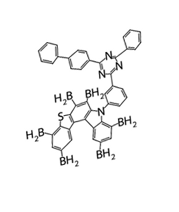 Bc1cc(B)c2sc3c(B)c(B)c4c(c5cc(B)cc(B)c5n4-c4cccc(-c5nc(-c6ccccc6)nc(-c6ccc(-c7ccccc7)cc6)n5)c4)c3c2c1